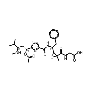 CN[C@H](C[C@@H](OC(C)=O)c1nc(C(=O)N[C@@H](Cc2ccccc2)C2OC2(C)C(=O)NCC(=O)O)cs1)C(C)C